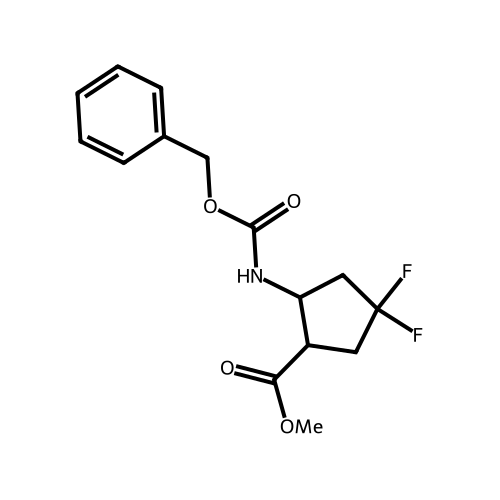 COC(=O)C1CC(F)(F)CC1NC(=O)OCc1ccccc1